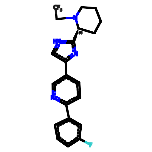 Fc1cccc(-c2ccc(-c3c[nH]c([C@H]4CCCCN4CC(F)(F)F)n3)cn2)c1